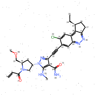 C=CC(=O)N1C[C@@H](n2nc(C#Cc3cc4nnc5c(c4cc3Cl)[C@@H](CC)CC5)c(C(N)=O)c2NC)C[C@@H]1COC